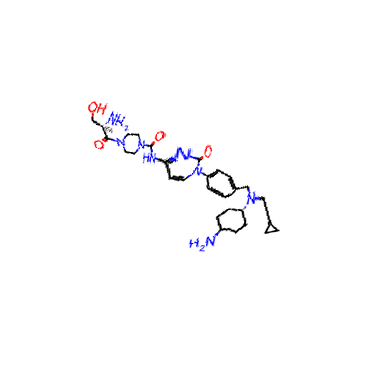 N[C@@H](CO)C(=O)N1CCN(C(=O)Nc2ccn(-c3ccc(CN(CC4CC4)[C@H]4CC[C@H](N)CC4)cc3)c(=O)n2)CC1